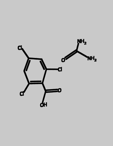 NC(N)=O.O=C(O)c1c(Cl)cc(Cl)cc1Cl